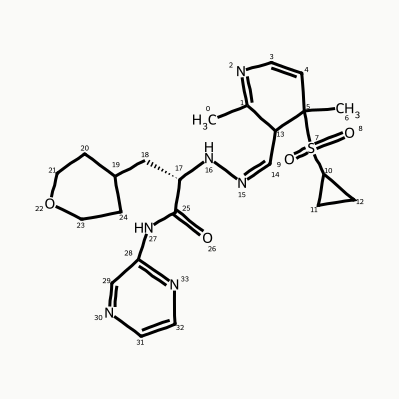 CC1=NC=CC(C)(S(=O)(=O)C2CC2)C1/C=N\N[C@@H](CC1CCOCC1)C(=O)Nc1cnccn1